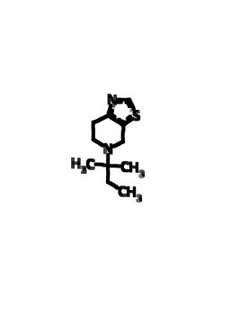 CCC(C)(C)N1CCc2ncsc2C1